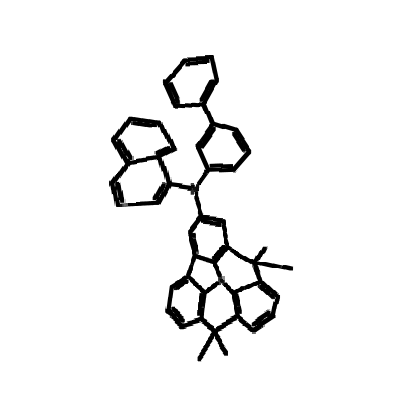 CC1(C)c2cccc3c2-n2c4c1cccc4c1cc(N(c4cccc(-c5ccccc5)c4)c4cccc5ccccc45)cc(c12)C3(C)C